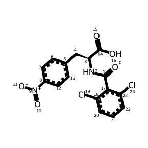 O=C(N[C@@H](Cc1ccc([N+](=O)[O-])cc1)C(=O)O)c1c(Cl)cccc1Cl